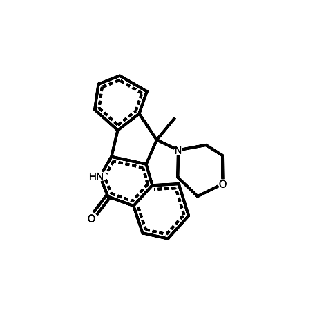 CC1(N2CCOCC2)c2ccccc2-c2[nH]c(=O)c3ccccc3c21